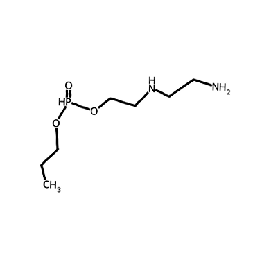 CCCO[PH](=O)OCCNCCN